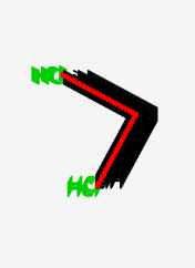 Cl.Cl.Cl.Cl.Cl.Cl.Cl.Cl.Cl.Cl.[LiH].[LiH].[LiH].[LiH].[LiH].[LiH].[LiH].[LiH].[LiH].[LiH].[LiH].[LiH].[LiH].[LiH].[LiH].[LiH].[LiH].[LiH].[LiH].[LiH].[LiH].[LiH].[LiH].[LiH].[LiH].[LiH].[LiH].[LiH].[LiH].[LiH].[LiH].[LiH].[LiH].[LiH].[LiH].[LiH].[LiH].[LiH].[LiH].[LiH].[LiH].[LiH].[LiH].[LiH].[LiH].[LiH].[LiH].[LiH].[LiH].[LiH].[LiH].[LiH].[LiH].[LiH].[LiH].[LiH].[LiH].[LiH].[LiH].[LiH].[LiH].[LiH].[LiH].[LiH].[LiH].[LiH].[LiH].[LiH].[LiH].[LiH].[LiH].[LiH].[LiH].[LiH].[LiH].[LiH].[LiH].[LiH].[LiH].[LiH].[LiH].[LiH].[LiH].[LiH].[LiH].[LiH].[LiH].[LiH].[LiH].[LiH]